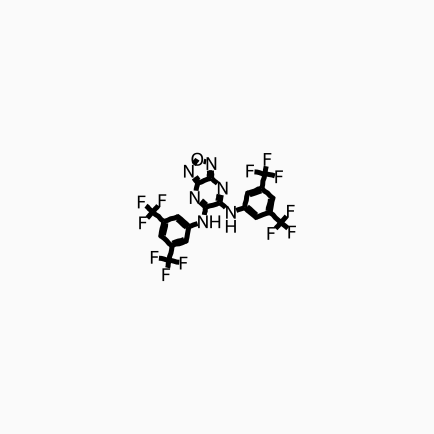 FC(F)(F)c1cc(Nc2nc3nonc3nc2Nc2cc(C(F)(F)F)cc(C(F)(F)F)c2)cc(C(F)(F)F)c1